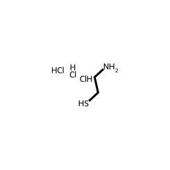 Cl.Cl.Cl.NCCS